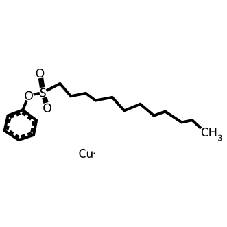 CCCCCCCCCCCCS(=O)(=O)Oc1ccccc1.[Cu]